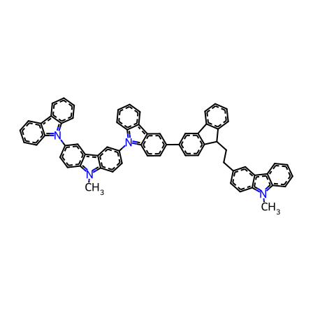 Cn1c2ccccc2c2cc(CCC3c4ccccc4-c4cc(-c5ccc6c(c5)c5ccccc5n6-c5ccc6c(c5)c5cc(-n7c8ccccc8c8ccccc87)ccc5n6C)ccc43)ccc21